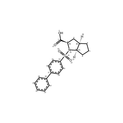 O=C(O)[C@H]1C[C@H]2CCC[C@H]2N1S(=O)(=O)c1ccc(-c2ccccc2)cc1